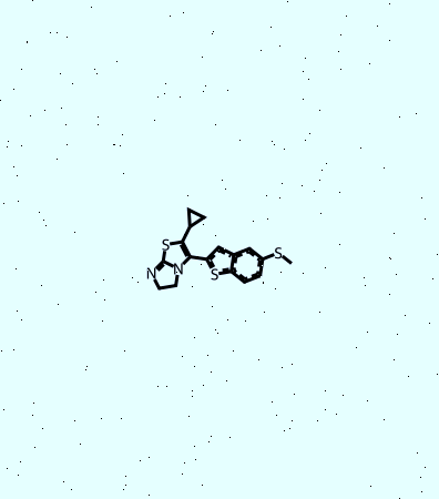 CSc1ccc2sc(C3=C(C4CC4)SC4=NCCN43)cc2c1